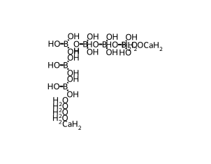 O.O.O.O.O.O.OB(O)O.OB(O)O.OB(O)O.OB(O)O.OB(O)O.OB(O)O.[CaH2].[CaH2]